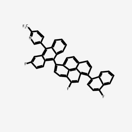 Fc1ccc2c(-c3ccc4c(F)cc5c(-c6ccc(F)c7ccccc67)ccc6ccc3c4c65)c3ccccc3c(-c3ccc(C(F)(F)F)nc3)c2c1